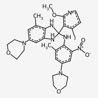 COc1nccc(I)c1C1(Nc2c(C)cc(N3CCOCC3)cc2[N+](=O)[O-])Nc2cc(N3CCOCC3)cc(C)c2N1